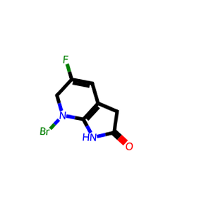 O=C1CC2=C(N1)N(Br)CC(F)=C2